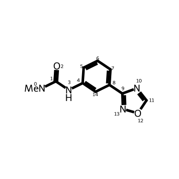 CNC(=O)Nc1cccc(-c2ncon2)c1